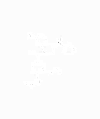 COc1ccc(C(=O)N2CCC(Nc3ccccc3)c3ccc(Cl)cc32)cc1OC